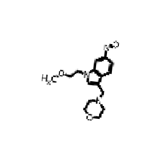 COCCn1cc(CN2CCOCC2)c2ccc(N=O)cc21